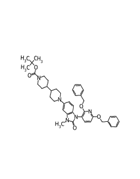 Cn1c(=O)n(-c2ccc(OCc3ccccc3)nc2OCc2ccccc2)c2ccc(N3CCC(C4CCN(C(=O)OC(C)(C)C)CC4)CC3)cc21